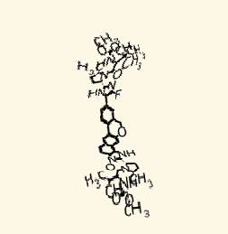 COC(=O)N[C@H](C(=O)N1[C@@H](C)CC[C@H]1c1nc2ccc3cc4c(cc3c2[nH]1)OCc1cc(-c2[nH]c([C@@H]3CC[C@H](C)N3C(=O)[C@@H](NC(=O)OC)C(C)(C)C)nc2F)ccc1-4)C(C)C